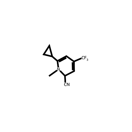 CN1C(C2CC2)=CC(C(F)(F)F)=CC1C#N